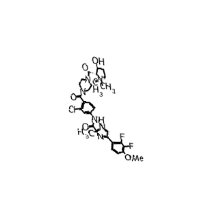 COc1ccc(C2=NC(C)(C(=O)Nc3ccc(C(=O)N4CCN(C(=O)[C@@H]5[C@@H](O)CC[N+]5(C)C)CC4)c(Cl)c3)N=C2)c(F)c1F